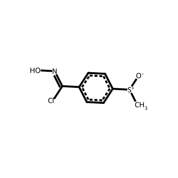 C[S+]([O-])c1ccc(C(Cl)=NO)cc1